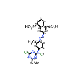 CNc1nc(Cl)nc(N(Cl)c2ccc(N=Nc3cc(S(=O)(=O)O)c4cccc(S(=O)(=O)O)c4c3)c(C)c2)n1